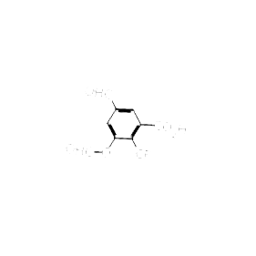 O=COc1cc(C=O)cc(C(=O)O)c1C(F)(F)F